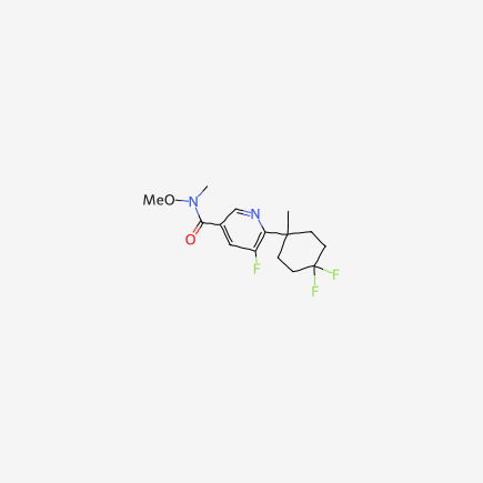 CON(C)C(=O)c1cnc(C2(C)CCC(F)(F)CC2)c(F)c1